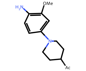 COc1cc(N2CCC(C(C)=O)CC2)ccc1N